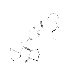 O=C(Nc1c2c(cc3c1CCC3)CCC2)NS(=O)(=O)/C=C/[C@@H]1CCCN1C1CCOCC1